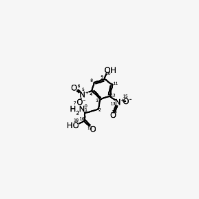 NC(Cc1c([N+](=O)[O-])cc(O)cc1[N+](=O)[O-])C(=O)O